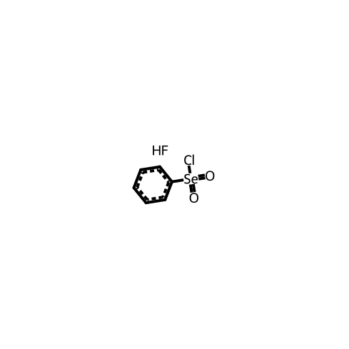 F.O=[Se](=O)(Cl)c1ccccc1